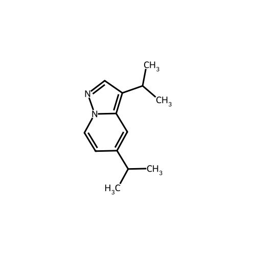 CC(C)c1ccn2ncc(C(C)C)c2c1